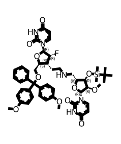 COc1ccc(C(OC[C@H]2O[C@@H](n3ccc(=O)[nH]c3=O)[C@H](F)[C@@H]2CCNC[C@H]2O[C@@H](n3ccc(=O)[nH]c3=O)[C@H](OC)[C@@H]2O[Si](C)(C)C(C)(C)C)(c2ccccc2)c2ccc(OC)cc2)cc1